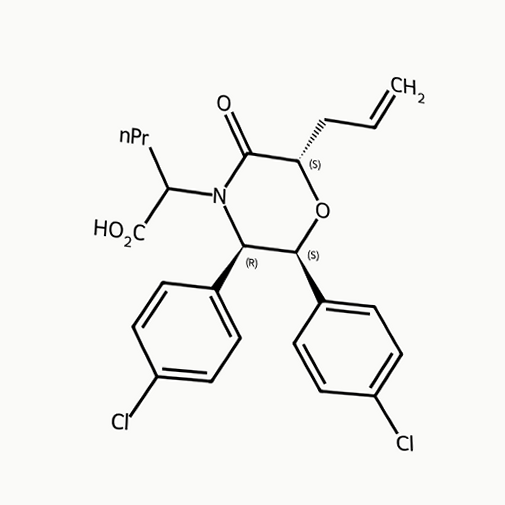 C=CC[C@@H]1O[C@@H](c2ccc(Cl)cc2)[C@@H](c2ccc(Cl)cc2)N(C(CCC)C(=O)O)C1=O